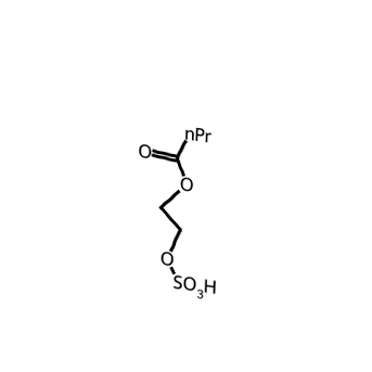 CCCC(=O)OCCOS(=O)(=O)O